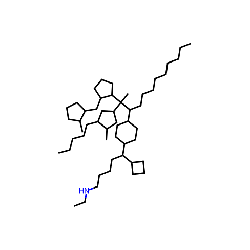 CCCCCCCCCC(C1CCC(C(CCCCNCC)C2CCC2)CC1)C(C)(C1CC(C)C(CCCCC)C1)C1CCCC1CC1CCCC1C